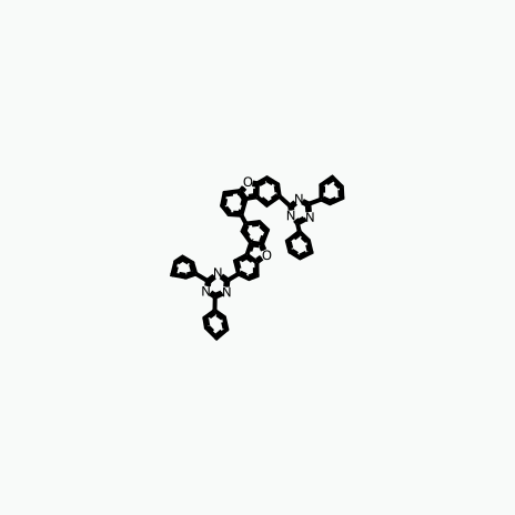 c1ccc(-c2nc(-c3ccccc3)nc(-c3ccc4oc5ccc(-c6cccc7oc8ccc(-c9nc(-c%10ccccc%10)nc(-c%10ccccc%10)n9)cc8c67)cc5c4c3)n2)cc1